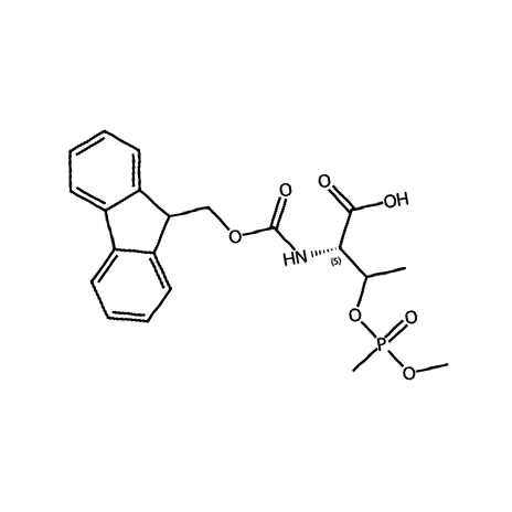 COP(C)(=O)OC(C)[C@H](NC(=O)OCC1c2ccccc2-c2ccccc21)C(=O)O